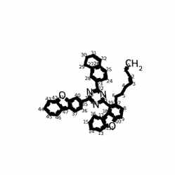 C=C/C=C\CCCc1ccc2oc3ccccc3c2c1-c1nc(-c2ccc3c(c2)CCC=C3)nc(-c2ccc3c(c2)oc2ccccc23)n1